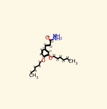 CCCCCCOc1ccc(/C=C/C(=O)NN)cc1OCCCCCC